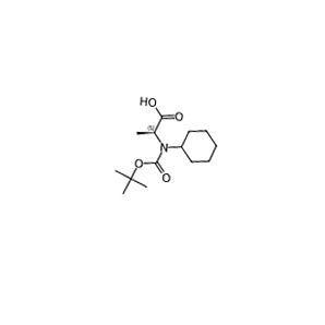 C[C@@H](C(=O)O)N(C(=O)OC(C)(C)C)C1CCCCC1